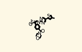 Cc1csc(-c2cnc(-n3cc([S+](C)[O-])c4ccc(C(=O)N5CCOCC5)cc43)nc2)c1